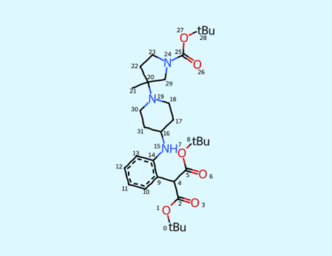 CC(C)(C)OC(=O)C(C(=O)OC(C)(C)C)c1ccccc1NC1CCN(C2(C)CCN(C(=O)OC(C)(C)C)C2)CC1